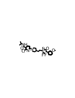 COc1cccc([C@@H](C(=O)N(C)CCCC2CCN(c3ccc(C(=O)NC(C)C)c(Cl)n3)CC2)C(F)(F)F)c1